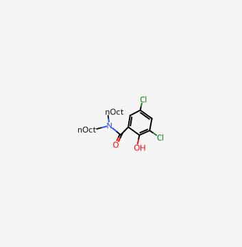 CCCCCCCCN(CCCCCCCC)C(=O)c1cc(Cl)cc(Cl)c1O